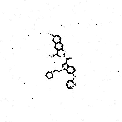 N#Cc1ccc2cc(OCC(=O)c3cn(CCN4CCCC4)c4cc(Oc5cccnn5)ccc34)c(C(N)=O)cc2c1